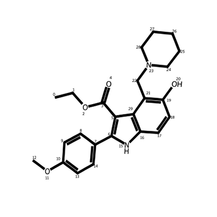 CCOC(=O)c1c(-c2ccc(OC)cc2)[nH]c2ccc(O)c(CN3CCCCC3)c12